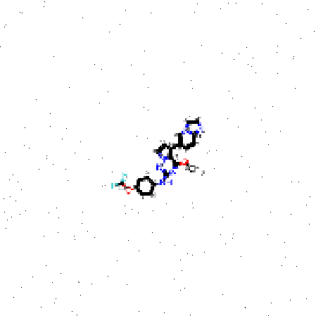 COc1nc(N[C@H]2CC[C@H](OC(F)F)CC2)nn2ccc(-c3ccc4nccn4c3)c12